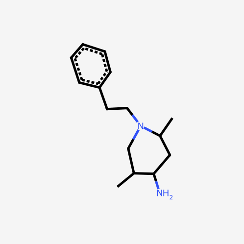 CC1CN(CCc2ccccc2)C(C)CC1N